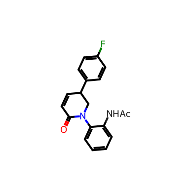 CC(=O)Nc1ccccc1N1CC(c2ccc(F)cc2)C=CC1=O